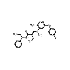 C=N/C(=C\N(C)c1cc(Nc2ccc(F)cc2)ncc1C)C(=O)NC(CN)c1ccccc1